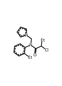 CCc1ccccc1N(Cn1cccc1)C(=O)C(Cl)CC